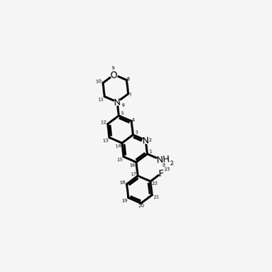 Nc1nc2cc(N3CCOCC3)ccc2cc1-c1ccccc1F